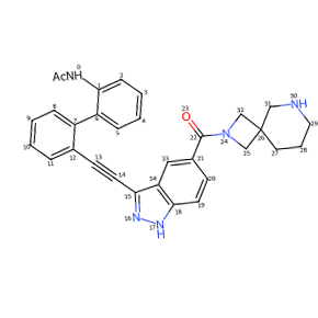 CC(=O)Nc1ccccc1-c1ccccc1C#Cc1n[nH]c2ccc(C(=O)N3CC4(CCCNC4)C3)cc12